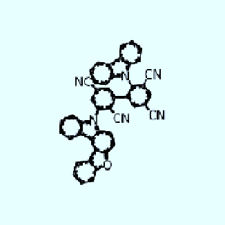 N#Cc1cc(C#N)c(-n2c3ccccc3c3ccccc32)c(-c2cc(C#N)cc(-n3c4ccccc4c4c5c(ccc43)oc3ccccc35)c2C#N)c1